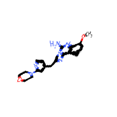 COc1cccc2c1nc(N)n1cc(Cc3ccnc(N4CCOCC4)c3)nc21